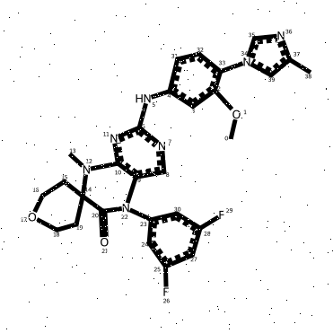 COc1cc(Nc2ncc3c(n2)N(C)C2(CCOCC2)C(=O)N3c2cc(F)cc(F)c2)ccc1-n1cnc(C)c1